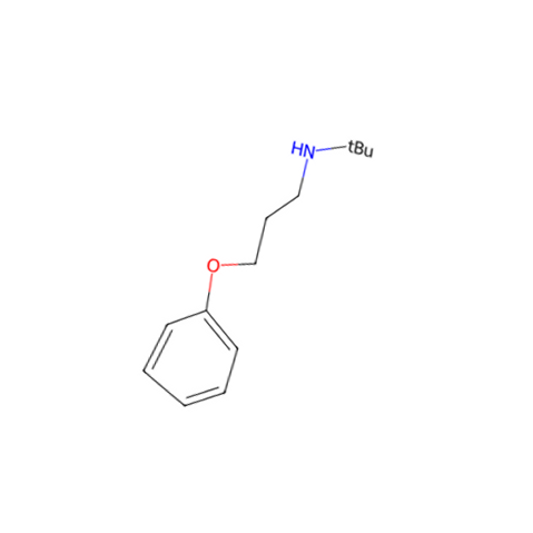 CC(C)(C)NCCCOc1ccccc1